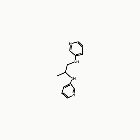 CC(CNc1cccnc1)Nc1cccnc1